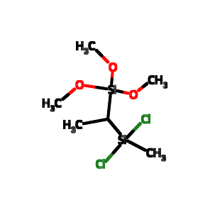 CO[Si](OC)(OC)C(C)[Si](C)(Cl)Cl